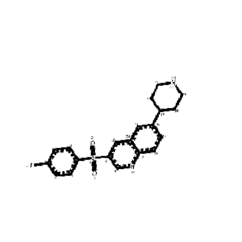 O=S(=O)(c1ccc(F)cc1)c1cnc2ccc(C3CCNCC3)cc2c1